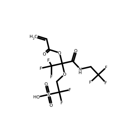 C=CC(=O)OC(OCC(F)(F)S(=O)(=O)O)(C(=O)NCC(F)(F)F)C(F)(F)F